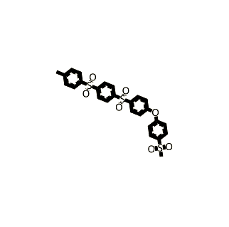 Cc1ccc(S(=O)(=O)c2ccc(S(=O)(=O)c3ccc(Oc4ccc(S(C)(=O)=O)cc4)cc3)cc2)cc1